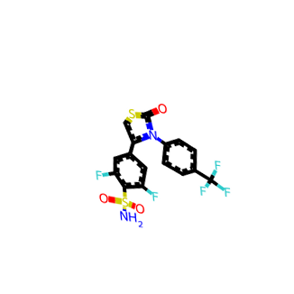 NS(=O)(=O)c1c(F)cc(-c2csc(=O)n2-c2ccc(C(F)(F)F)cc2)cc1F